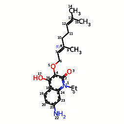 CCn1c(=O)c(OC/C=C(\C)CCC=C(C)C)c(O)c2ccc(N)cc21